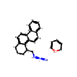 C1=CCOC=C1.[N-]=[N+]=NCC1CCCc2ccc3c(ccc4ccccc43)c21